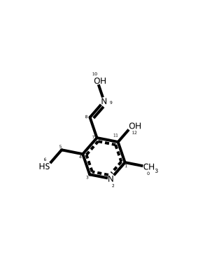 Cc1ncc(CS)c(C=NO)c1O